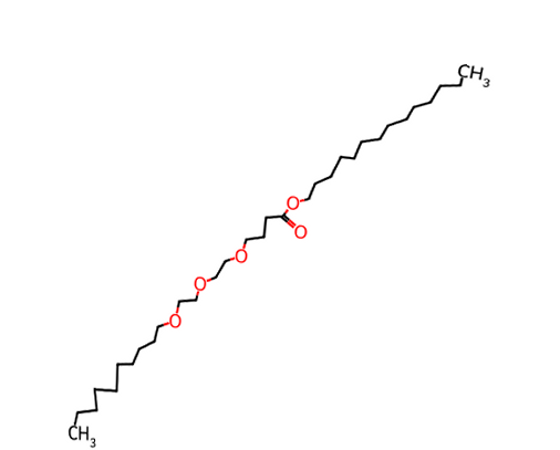 CCCCCCCCCCCCCCOC(=O)CCCOCCOCCOCCCCCCCCCC